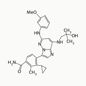 COc1cccc(Nc2cc(NCC(C)(C)O)c3ncc(-c4ccc(C(N)=O)c(C)c4C4CC4)n3n2)c1